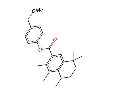 COCc1ccc(OC(=O)c2cc3c(c(C)c2C)C(C)CCC3(C)C)cc1